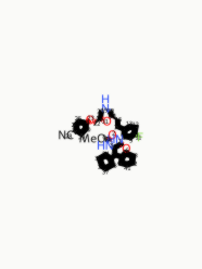 COC(=O)NC(C(=O)Nc1cc(F)ccc1CC[C@@H]1CNC[C@@H](COc2ccc(C#N)cc2)O1)C(c1ccccc1)c1ccccc1